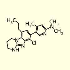 CCCc1cc(-c2cnc(N(C)C)cc2C)c(Cl)c2nc3n(c12)CCCN3